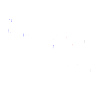 CCOC(=O)CC[C@H](NC(=O)c1ccc(NCc2c[nH]c(=O)[nH]c2=O)cc1)C(=O)OCC